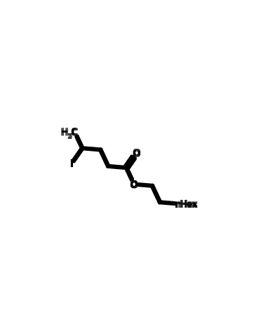 CCCCCCCCOC(=O)CCC(C)I